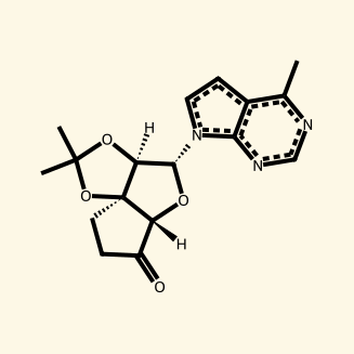 Cc1ncnc2c1ccn2[C@@H]1O[C@@H]2C(=O)CC[C@@]23OC(C)(C)O[C@@H]13